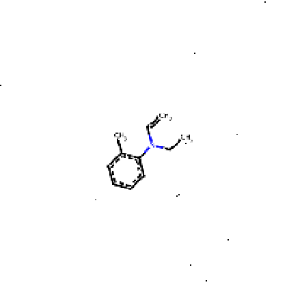 C=CN(CC)c1ccccc1C